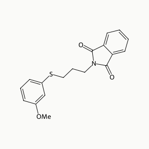 COc1cccc(SCCCN2C(=O)c3ccccc3C2=O)c1